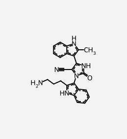 Cc1[nH]c2ccccc2c1-c1[nH]c(=O)n(-c2c(CCCN)[nH]c3ccccc23)c1C#N